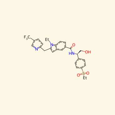 CCn1c(Cc2ccc(C(F)(F)F)cn2)cc2cc(C(=O)N[C@@H](CO)c3ccc(S(=O)(=O)CC)cc3)ccc21